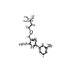 CCCc1nc(-c2cccc(Br)c2)nn1COCC[Si](C)(C)C